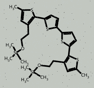 Cc1cc(CCO[Si](C)(C)C)c(-c2ccc(-c3ccc(-c4sc(C)cc4CCO[Si](C)(C)C)s3)s2)s1